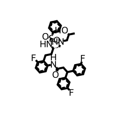 CC(O)CNC[C@H](CCc1c(F)cccc1NC(=O)CC(c1cccc(F)c1)c1cccc(F)c1)NS(=O)(=O)c1ccccc1